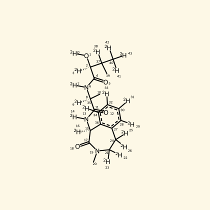 [2H]O[C@]([2H])(C(=O)N([2H])[C@@]([2H])(C)C(=O)N([2H])[C@]1([2H])C(=O)N(C)C([2H])([2H])C([2H])([2H])c2c([2H])c([2H])c([2H])c([2H])c21)C([2H])(C)C([2H])([2H])[2H]